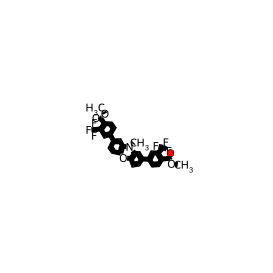 COC(=O)c1ccc(-c2ccc3c(c2)N(C)c2cc(-c4ccc(C(=O)OC)c(C(F)(F)F)c4)ccc2O3)cc1C(F)(F)F